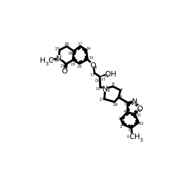 Cc1ccc2c(C3CCN(C[C@H](O)COc4ccc5c(c4)C(=O)N(C)CC5)CC3)noc2c1